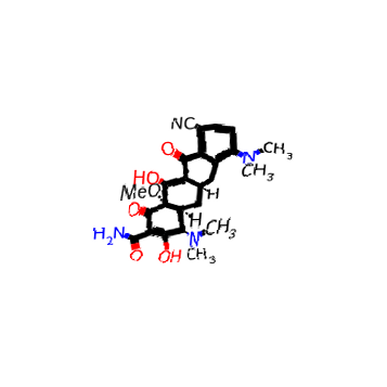 CO[C@@]12C(=O)C(C(N)=O)=C(O)[C@@H](N(C)C)[C@@H]1C[C@@H]1Cc3c(N(C)C)ccc(C#N)c3C(=O)C1=C2O